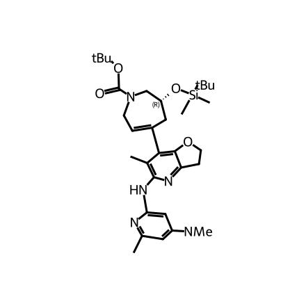 CNc1cc(C)nc(Nc2nc3c(c(C4=CCN(C(=O)OC(C)(C)C)C[C@H](O[Si](C)(C)C(C)(C)C)C4)c2C)OCC3)c1